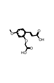 COc1ccc(C=CC(=O)O)c(OCC(=O)O)c1